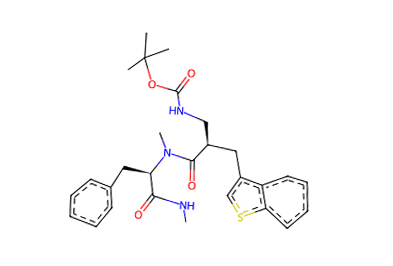 CNC(=O)[C@@H](Cc1ccccc1)N(C)C(=O)[C@@H](CNC(=O)OC(C)(C)C)Cc1csc2ccccc12